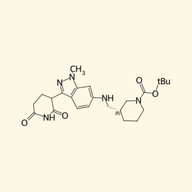 Cn1nc(C2CCC(=O)NC2=O)c2ccc(NC[C@H]3CCCN(C(=O)OC(C)(C)C)C3)cc21